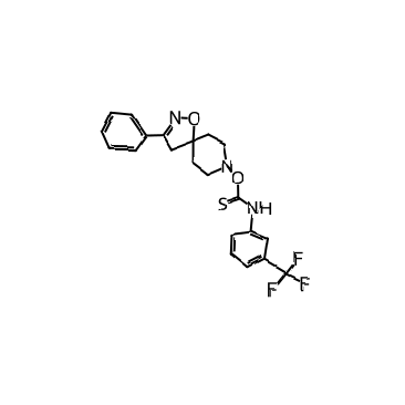 FC(F)(F)c1cccc(NC(=S)ON2CCC3(CC2)CC(c2ccccc2)=NO3)c1